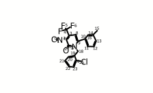 [C-]#[N+]c1c(C(F)(F)F)cc(-c2cccc(C)c2)n(Cc2ccccc2Cl)c1=O